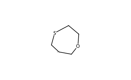 [CH]1COCCSC1